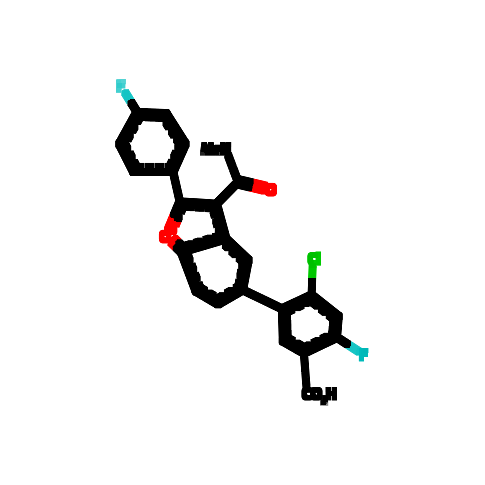 CNC(=O)c1c(-c2ccc(F)cc2)oc2ccc(-c3cc(C(=O)O)c(F)cc3Cl)cc12